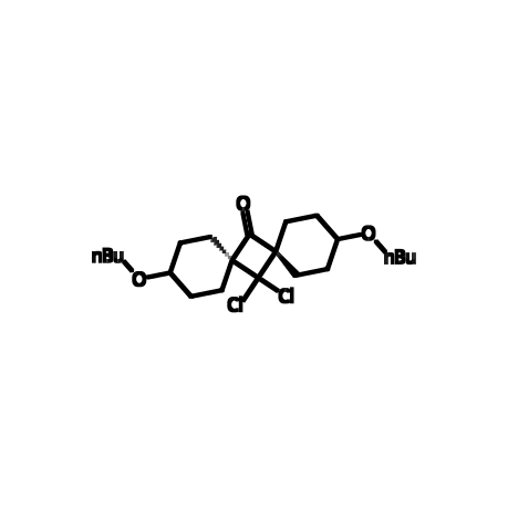 CCCCOC1CC[C@]2(CC1)C(=O)[C@@]1(CCC(OCCCC)CC1)C2(Cl)Cl